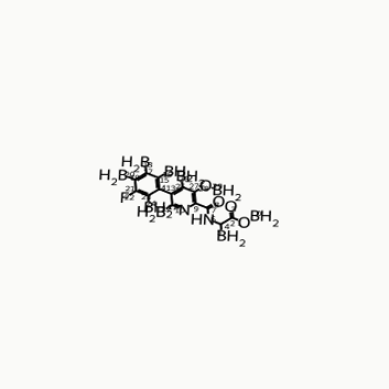 BOC(=O)C(B)NC(=O)c1nc(B)c(-c2c(B)c(B)c(B)c(F)c2B)c(B)c1OB